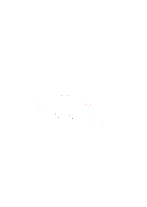 Brc1ccc(OC2CC2)nn1